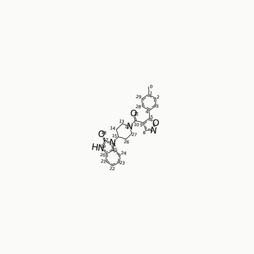 Cc1ccc(-c2oncc2C(=O)N2CCC(n3c(=O)[nH]c4ccccc43)CC2)cc1